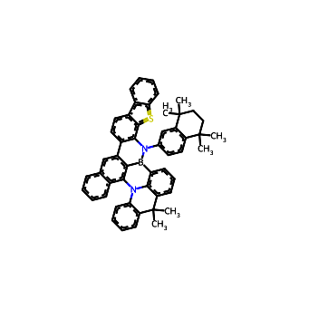 CC1(C)CCC(C)(C)c2cc(N3B4c5cccc6c5N(c5ccccc5C6(C)C)c5c4c(cc4ccccc54)-c4ccc5c(sc6ccccc65)c43)ccc21